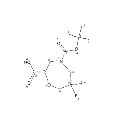 CC(C)(C)OC(=O)N1C[C@@H](C(=O)O)OCC(F)(F)C1